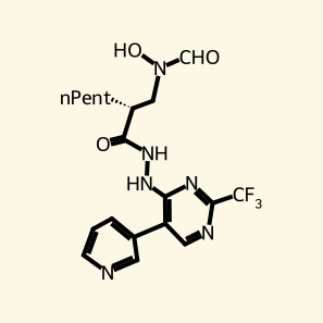 CCCCC[C@H](CN(O)C=O)C(=O)NNc1nc(C(F)(F)F)ncc1-c1cccnc1